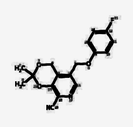 CC1(C)OCc2c(COc3ccc(F)cc3)cnc(C#N)c2O1